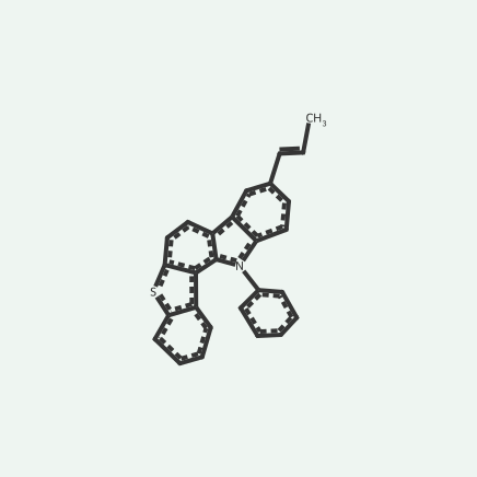 C/C=C/c1ccc2c(c1)c1ccc3sc4ccccc4c3c1n2-c1ccccc1